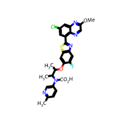 COc1cnc2c(-c3nc4cc(F)c(OC(C)C(C)N(C(=O)O)c5ccc(C)nc5)cc4s3)cc(Cl)cc2n1